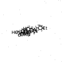 CCC1CCC(Cn2ncc3c2C=C2CC[C@@H]4[C@H](C(=O)C[C@@]5(C)[C@H]4CC[C@]5(O)C(=O)CO)[C@@]2(C)C3)CC1